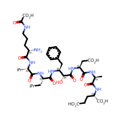 CC(C)C[C@H](NC(=O)[C@@H](NC(=O)[C@@H](N)CCCNC(=O)C(=O)O)C(C)C)C(=O)N[C@@H](Cc1ccccc1)[C@@H](O)C(=O)N[C@@H](CC(=O)O)C(=O)N[C@@H](C)C(=O)N[C@@H](CCC(=O)O)C(=O)O